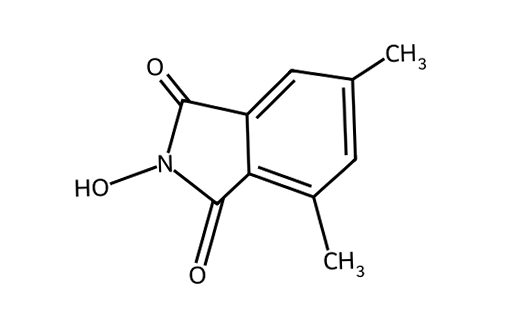 Cc1cc(C)c2c(c1)C(=O)N(O)C2=O